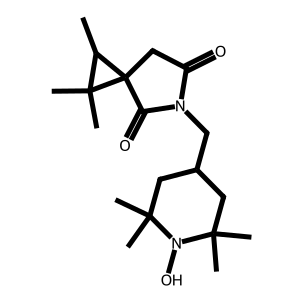 CC1C(C)(C)C12CC(=O)N(CC1CC(C)(C)N(O)C(C)(C)C1)C2=O